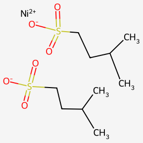 CC(C)CCS(=O)(=O)[O-].CC(C)CCS(=O)(=O)[O-].[Ni+2]